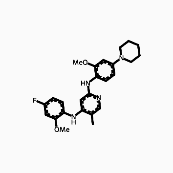 COc1cc(N2CCCCC2)ccc1Nc1cc(Nc2ccc(F)cc2OC)c(C)cn1